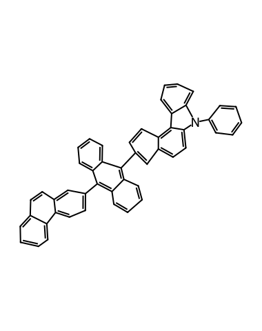 c1ccc(-n2c3ccccc3c3c4ccc(-c5c6ccccc6c(-c6ccc7c(ccc8ccccc87)c6)c6ccccc56)cc4ccc32)cc1